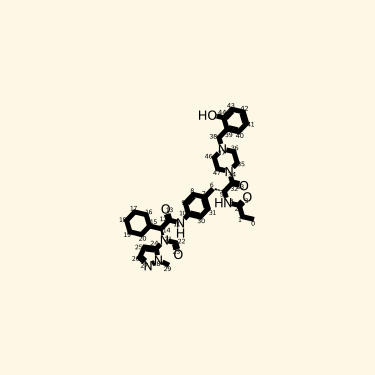 CCC(=O)N[C@H](Cc1ccc(NC(=O)[C@H](C2CCCCC2)N(C=O)c2ccnn2C)cc1)C(=O)N1CCN(Cc2ccccc2O)CC1